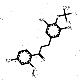 Cc1cc(CCC(=O)c2ccc(C(F)(F)F)cc2OC(C)C)cc(C)c1OC(C)(C)C(=O)O